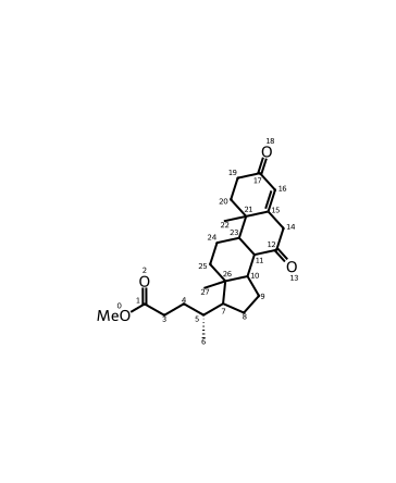 COC(=O)CC[C@@H](C)C1CCC2C3C(=O)CC4=CC(=O)CCC4(C)C3CCC21C